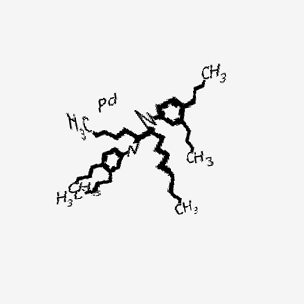 CCCCCCCCC(=Nc1ccc(CCCC)c(CCCC)c1)C(CCCCC)=Nc1ccc(CCCC)c(CCCC)c1.[Pd]